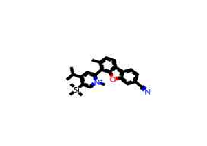 Cc1ccc2c(oc3cc(C#N)ccc32)c1-c1cc(C(C)C)c([Si](C)(C)C)c[n+]1C